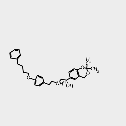 CC1(C)OCc2cc([C@@H](O)CNCCc3ccc(OCCCCc4ccccc4)cc3)ccc2O1